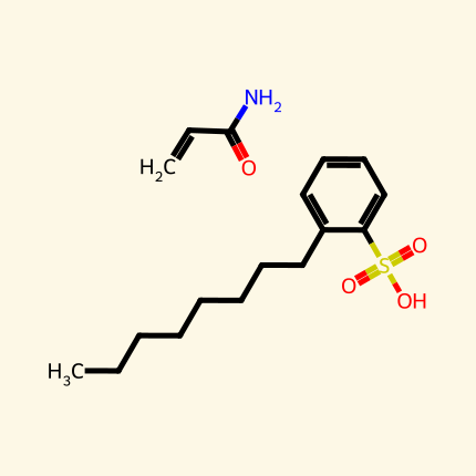 C=CC(N)=O.CCCCCCCCc1ccccc1S(=O)(=O)O